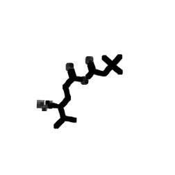 CC(C)[C@@H](N)CCC(=O)OC(=O)CC(C)(C)C